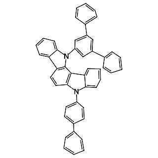 c1ccc(-c2ccc(-n3c4ccccc4c4c3ccc3c5ccccc5n(-c5cc(-c6ccccc6)cc(-c6ccccc6)c5)c34)cc2)cc1